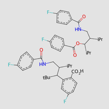 CC(C)C(CNC(=O)c1ccc(F)cc1)C(OC(=O)c1ccc(F)cc1)C(C)C.CC(C)C(CNC(=O)c1ccc(F)cc1)C(c1cc(F)ccc1C(=O)O)C(C)(C)C